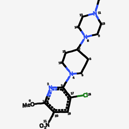 COc1nc(N2CCC(N3CCN(C)CC3)CC2)c(Cl)cc1[N+](=O)[O-]